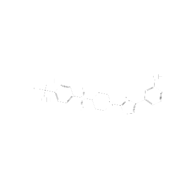 Cc1cccc(-c2csc(N3CCC(S(=O)(=O)c4ccc(C(C)(C)C)cc4)CC3)n2)c1